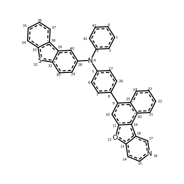 c1ccc(N(c2ccc(-c3cc4oc5ccncc5c4c4ccccc34)cc2)c2ccc3sc4ccccc4c3c2)cc1